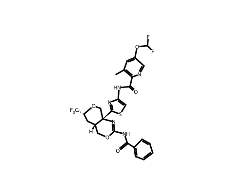 Cc1cc(OC(F)F)cnc1C(=O)Nc1csc([C@]23CO[C@@H](C(F)(F)F)C[C@H]2COC(NC(=O)c2ccccc2)=N3)n1